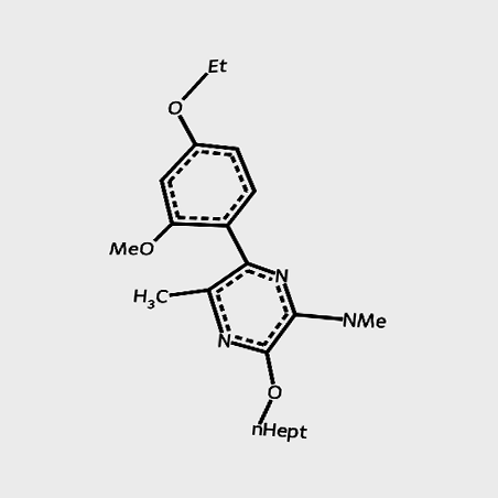 CCCCCCCOc1nc(C)c(-c2ccc(OCC)cc2OC)nc1NC